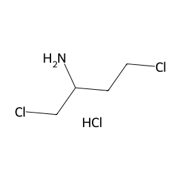 Cl.NC(CCl)CCCl